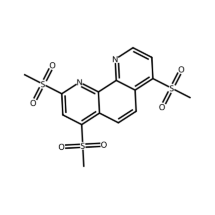 CS(=O)(=O)c1cc(S(C)(=O)=O)c2ccc3c(S(C)(=O)=O)ccnc3c2n1